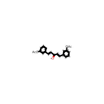 CC(=O)Oc1cccc(/C=C/C(=O)/C=C/c2cccc(OC(C)=O)c2)c1